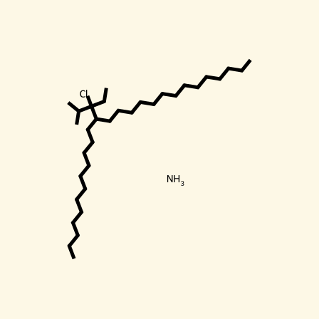 CCCCCCCCCCCCCCC(CCCCCCCCCCCC)C(Cl)(CC)C(C)C.N